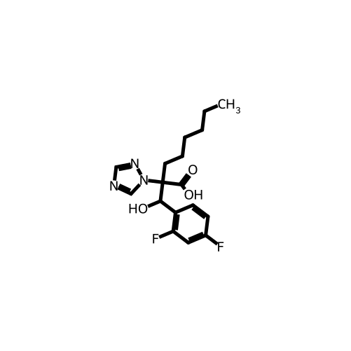 CCCCCCC(C(=O)O)(C(O)c1ccc(F)cc1F)n1cncn1